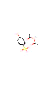 CC(=O)OC(C)=O.O=S(=O)([O-])c1ccc(O)cc1.[Na+]